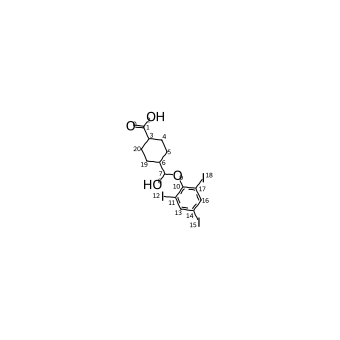 O=C(O)C1CCC(C(O)Oc2c(I)cc(I)cc2I)CC1